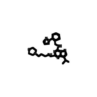 CC(C)c1cnn2c(NCc3ccccc3-n3cccn3)nc(CNCCCN3CCOCC3)nc12